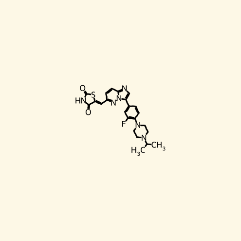 CC(C)N1CCN(c2ccc(-c3cnc4ccc(/C=C5\SC(=O)NC5=O)nn34)cc2F)CC1